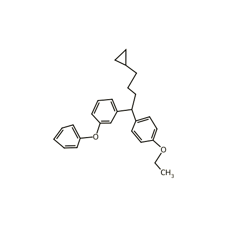 CCOc1ccc(C(CCCC2CC2)c2cccc(Oc3ccccc3)c2)cc1